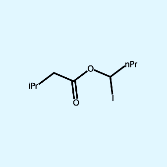 CCCC(I)OC(=O)CC(C)C